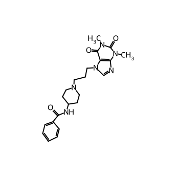 Cn1c(=O)c2c(ncn2CCCN2CCC(NC(=O)c3ccccc3)CC2)n(C)c1=O